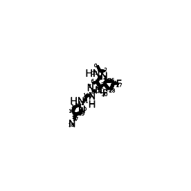 Cc1cnc(-c2cnc(NCCNc3ccc(C#N)cn3)nc2-c2ccc(F)cc2F)[nH]1